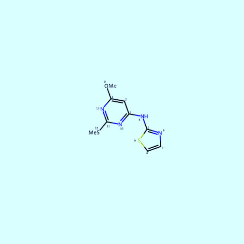 COc1cc(Nc2nccs2)nc(SC)n1